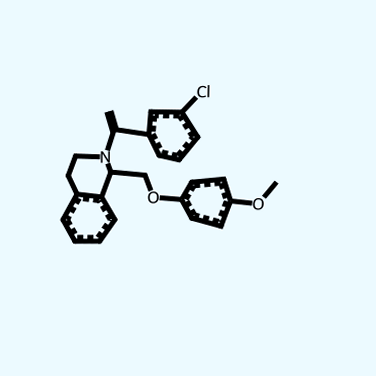 C=C(c1cccc(Cl)c1)N1CCc2ccccc2C1COc1ccc(OC)cc1